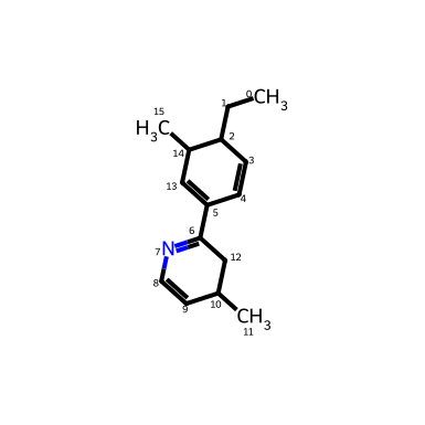 CCC1C=CC(C2=NC=CC(C)C2)=CC1C